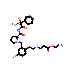 CCOC(=O)CCNCCc1ccc(Cl)cc1CN1CCC[C@H]1C(=O)NC(=O)[C@](C)(O)c1ccccc1